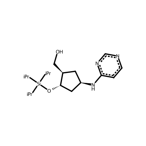 CC(C)[Si](O[C@H]1C[C@H](Nc2[c]cncn2)C[C@@H]1CO)(C(C)C)C(C)C